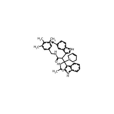 CC(=O)NC(c1c[nH]c2ccccc12)(C(C(=O)NCc1cc(C)c(C)c(C)c1)c1c[nH]c2ccc(C#N)cc12)N1CC=CCC1